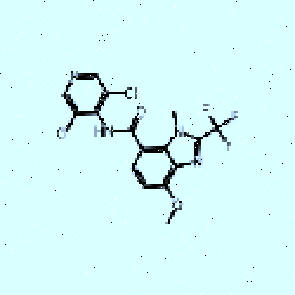 COc1ccc(C(=O)Nc2c(Cl)cncc2Cl)c2c1nc(C(F)(F)F)n2C